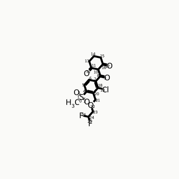 CS(=O)(=O)c1ccc(C(=O)C2C(=O)CCCC2=O)c(Cl)c1COCC(F)F